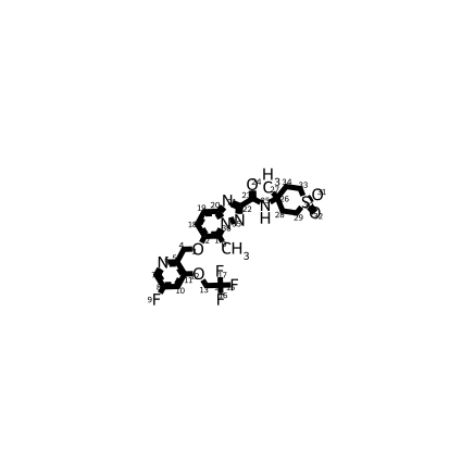 Cc1c(OCc2ncc(F)cc2OCC(F)(F)F)ccc2nc(C(=O)NC3(C)CCS(=O)(=O)CC3)nn12